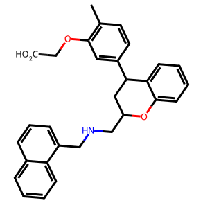 Cc1ccc(C2CC(CNCc3cccc4ccccc34)Oc3ccccc32)cc1OCC(=O)O